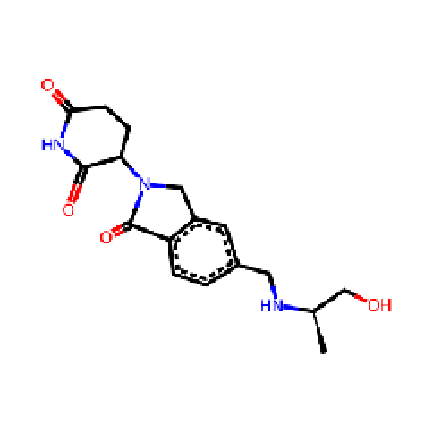 C[C@H](CO)NCc1ccc2c(c1)CN(C1CCC(=O)NC1=O)C2=O